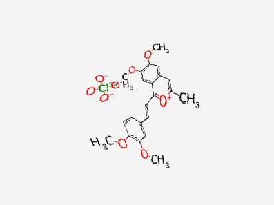 COc1ccc(C=Cc2[o+]c(C)cc3cc(OC)c(OC)cc23)cc1OC.[O-][Cl+3]([O-])([O-])[O-]